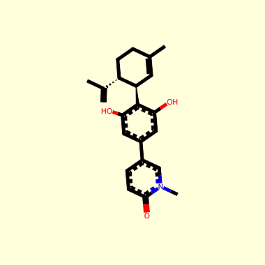 C=C(C)[C@@H]1CCC(C)=C[C@H]1c1c(O)cc(-c2ccc(=O)n(C)c2)cc1O